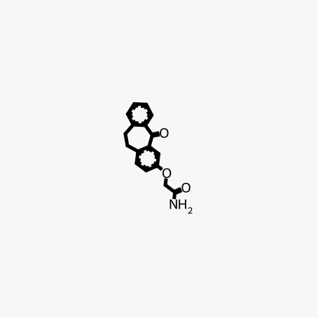 NC(=O)COc1ccc2c(c1)C(=O)c1ccccc1CC2